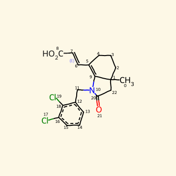 CC12CCCC(/C=C/C(=O)O)=C1N(Cc1cccc(Cl)c1Cl)C(=O)C2